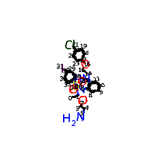 CC(OCCN)N(c1ccccc1NCCOc1ccc(Cl)cc1)S(=O)(=O)c1ccc(I)cc1